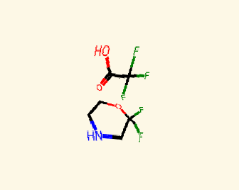 FC1(F)CNCCO1.O=C(O)C(F)(F)F